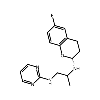 CC(CNc1ncccn1)N[C@H]1CCc2cc(F)ccc2O1